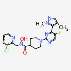 Cc1cnn(C)c1-c1nc(N2CCC(C(=O)N(O)Cc3ncccc3Cl)CC2)ncc1F